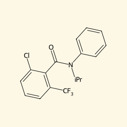 CC(C)N(C(=O)c1c(Cl)cccc1C(F)(F)F)c1ccccc1